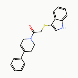 O=C(CSc1c[nH]c2ccccc12)N1CC=C(c2ccccc2)CC1